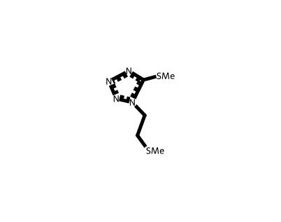 [CH2]Sc1nnnn1CCSC